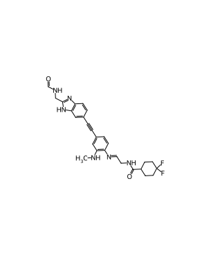 CNc1cc(C#Cc2ccc3nc(CNC=O)[nH]c3c2)ccc1/N=C/CNC(=O)C1CCC(F)(F)CC1